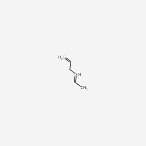 C=CC[SiH]=CC